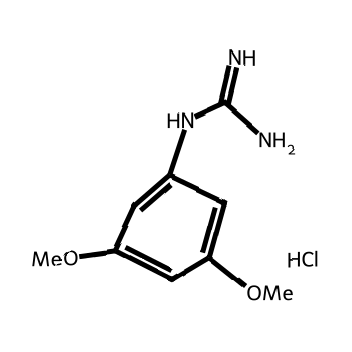 COc1cc(NC(=N)N)cc(OC)c1.Cl